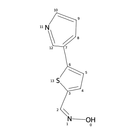 O/N=C\c1ccc(-c2cccnc2)s1